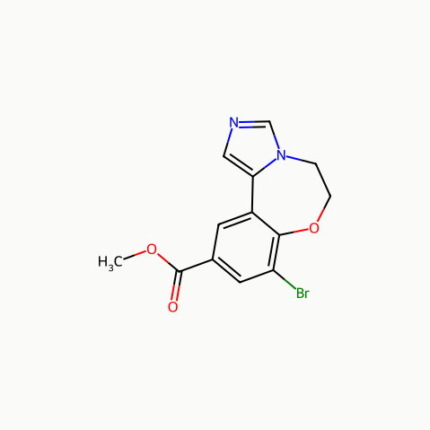 COC(=O)c1cc(Br)c2c(c1)-c1cncn1CCO2